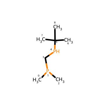 CP(C)CPC(C)(C)C